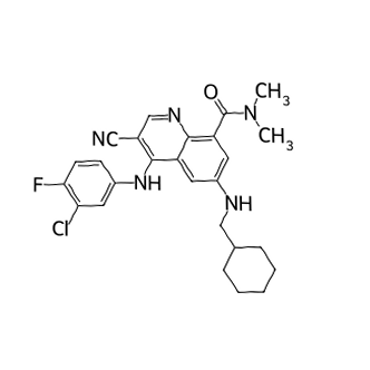 CN(C)C(=O)c1cc(NCC2CCCCC2)cc2c(Nc3ccc(F)c(Cl)c3)c(C#N)cnc12